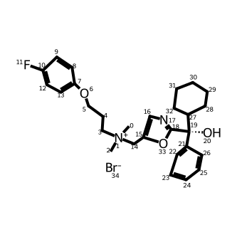 C[N+](C)(CCCOc1ccc(F)cc1)Cc1cnc([C@](O)(c2ccccc2)C2CCCCC2)o1.[Br-]